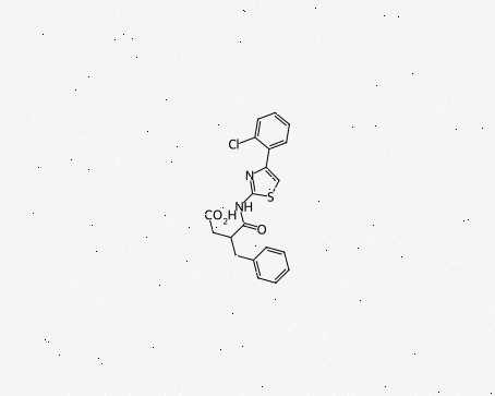 O=C(O)CC(Cc1ccccc1)C(=O)Nc1nc(-c2ccccc2Cl)cs1